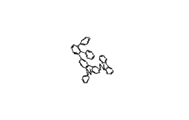 c1ccc(-c2cccc(-c3ccc4c(c3)c3cc(-n5c6ccccc6c6ccccc65)ccc3n4-c3ccccc3)c2-c2ccccc2)cc1